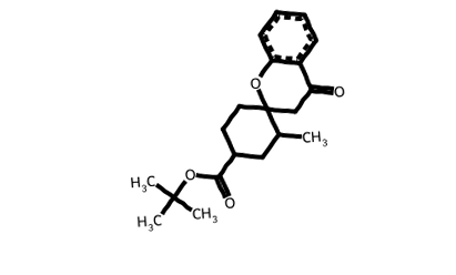 CC1CC(C(=O)OC(C)(C)C)CCC12CC(=O)c1ccccc1O2